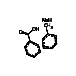 Cc1ccccc1.O=C(O)c1ccccc1.[NaH]